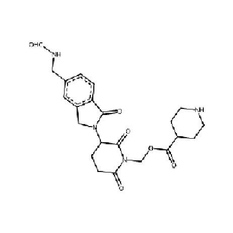 O=CNCc1ccc2c(c1)CN(C1CCC(=O)N(COC(=O)C3CCNCC3)C1=O)C2=O